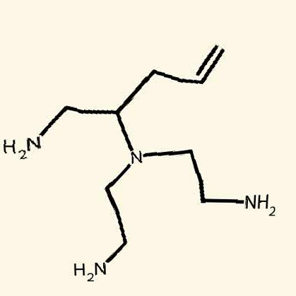 C=CCC(CN)N(CCN)CCN